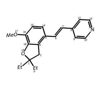 CCC1(CC)Cc2c(C=Cc3ccncc3)ccc(OC)c2O1